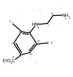 CCOC(=O)c1cc(I)c(NCCN)c(I)c1